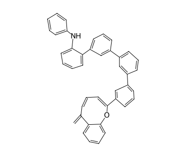 C=C1/C=C\C=C(\c2cccc(-c3cccc(-c4cccc(-c5ccccc5Nc5ccccc5)c4)c3)c2)Oc2ccccc21